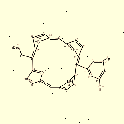 CCCCCCCCCCCc1c2nc(cc3ccc([nH]3)c(-c3cc(O)cc(O)c3)c3nc(cc4ccc1[nH]4)C=C3)C=C2